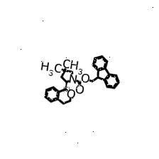 CC1(C)CC([C@H]2OCCc3ccccc32)N(C(=O)OCC2c3ccccc3-c3ccccc32)C1